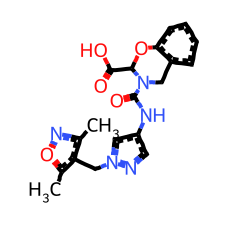 Cc1noc(C)c1Cn1cc(NC(=O)N2Cc3ccccc3OC2C(=O)O)cn1